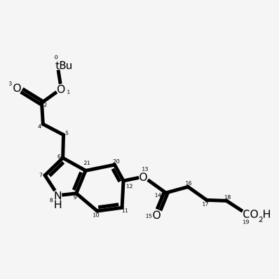 CC(C)(C)OC(=O)CCc1c[nH]c2ccc(OC(=O)CCCC(=O)O)cc12